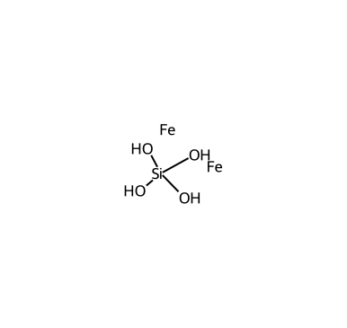 O[Si](O)(O)O.[Fe].[Fe]